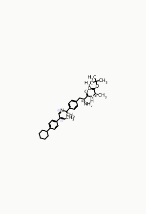 C=C(/N=C\C(=C/C)c1ccc(C2CCCCC2)cc1)c1ccc(C[C@H](N)C(=O)N[C@H](C)C(=O)OC(C)(C)C)cc1